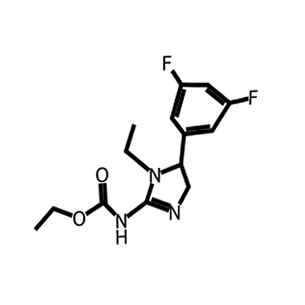 CCOC(=O)NC1=NCC(c2cc(F)cc(F)c2)N1CC